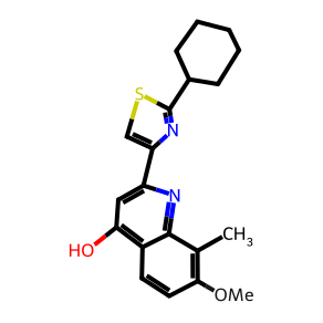 COc1ccc2c(O)cc(-c3csc(C4CCCCC4)n3)nc2c1C